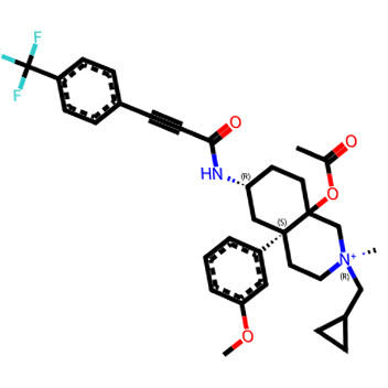 COc1cccc([C@@]23CC[N@+](C)(CC4CC4)CC2(OC(C)=O)CC[C@@H](NC(=O)C#Cc2ccc(C(F)(F)F)cc2)C3)c1